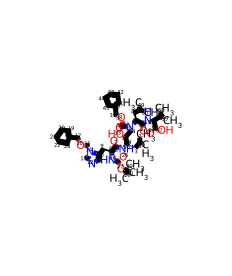 CC(C)C[C@H](NC(=O)[C@H](Cc1cncn1COCc1ccccc1)NC(=O)OC(C)(C)C)C(O)CN(C(=O)OCc1ccccc1)[C@@H](CC(C)C)C(=O)N[C@H](C(=O)O)C(C)C